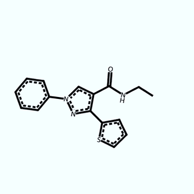 CCNC(=O)c1cn(-c2ccccc2)nc1-c1cccs1